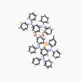 Cc1ccc2c(c1)P1(=O)c3cc4c(cc3N(c3ccccc3)c3cc(N(c5ccccc5)c5ccccc5)cc(c31)N2c1ccccc1)Oc1cc(N(c2ccccc2)c2ccccc2)cc2c1P4(=O)c1ccccc1N2c1ccccc1